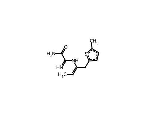 C/C=C(/Cc1ccc(C)s1)NC(=N)C(N)=O